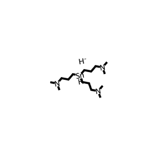 CN(C)CC[CH2][SnH]([CH2]CCN(C)C)[CH2]CCN(C)C.[H-]